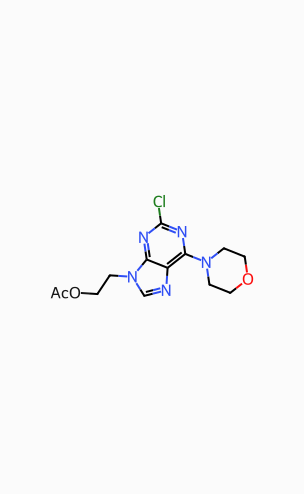 CC(=O)OCCn1cnc2c(N3CCOCC3)nc(Cl)nc21